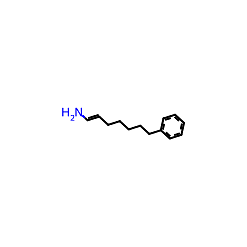 NC=CCCCCCc1ccccc1